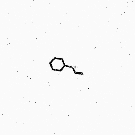 [CH]=CNC1CCCCC1